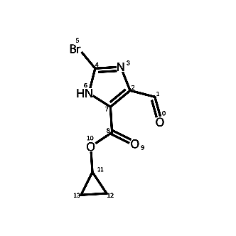 O=Cc1nc(Br)[nH]c1C(=O)OC1CC1